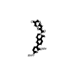 COc1ccc(-c2ccc3c(c2)CCN(C(=O)c2cc4ncc(Cl)cn4n2)C3C)c(OC)n1